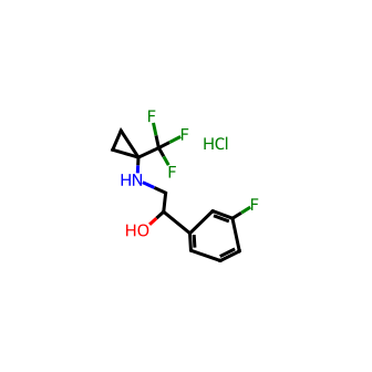 Cl.OC(CNC1(C(F)(F)F)CC1)c1cccc(F)c1